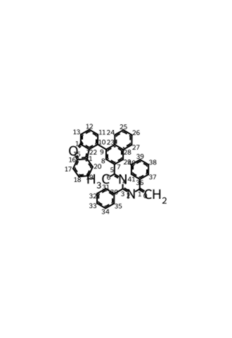 C=C(/N=C(\N=C(/C)c1cc(-c2cccc3oc4ccccc4c23)c2ccccc2c1)c1ccccc1)c1ccccc1